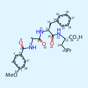 COc1ccc(C(=O)NCC(=O)N[C@@H](Cc2ccccc2)C(=O)N[C@@H](CC(C)C)C(=O)O)cc1